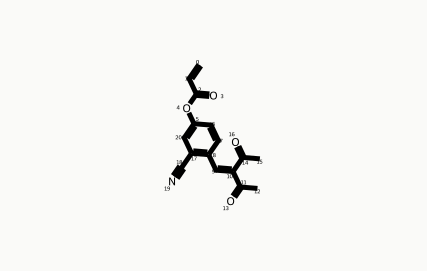 C=CC(=O)Oc1ccc(C=C(C(C)=O)C(C)=O)c(C#N)c1